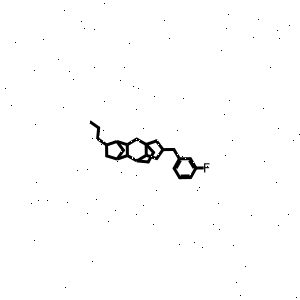 CCCC1CC2CC1C1CC34CCC(C21)C3CC(Cc1cccc(F)c1)C4